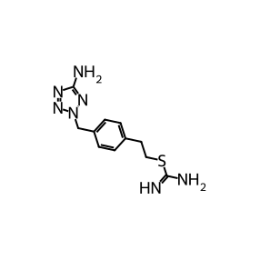 N=C(N)SCCc1ccc(Cn2nnc(N)n2)cc1